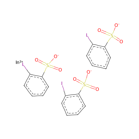 O=S(=O)([O-])c1ccccc1I.O=S(=O)([O-])c1ccccc1I.O=S(=O)([O-])c1ccccc1I.[In+3]